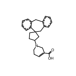 O=C(O)C1=CCCN(C2CCC3(Cc4ccccc4Cc4ccccc43)C2)C1